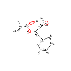 C=C(C)C(=O)OC(c1ccccc1)C1CO1